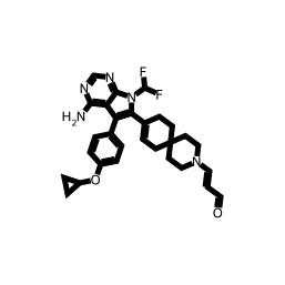 Nc1ncnc2c1c(-c1ccc(OC3CC3)cc1)c(C1=CCC3(CC1)CCN(C=CC=O)CC3)n2C(F)F